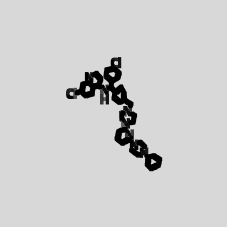 Clc1ccc(C(Nc2ccnc3cc(Cl)ccc23)c2ccc(CN3CCN(c4cccc(N5CCN(c6ccccc6)CC5)n4)CC3)cc2)cc1